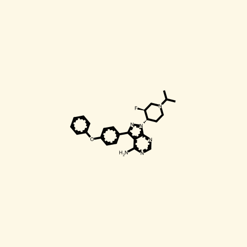 CC(C)N1CC[C@H](n2nc(-c3ccc(Oc4ccccc4)cc3)c3c(N)ncnc32)[C@@H](F)C1